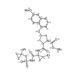 CCCC1(OS(=O)(=O)NC(=O)C2(NC(=O)C3CC(Oc4nccc5cc(OC)ccc45)CN3C(=O)OC(C)(C)C)CC2CC)CC1